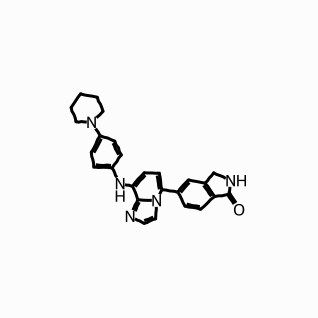 O=C1NCc2cc(-c3ccc(Nc4ccc(N5CCCCC5)cc4)c4nccn34)ccc21